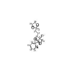 CC1(CCCC(F)(F)S(=O)(=O)c2ccccn2)OCCO1